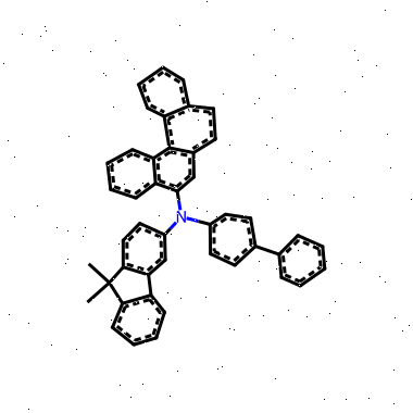 CC1(C)c2ccccc2-c2cc(N(c3ccc(-c4ccccc4)cc3)c3cc4ccc5ccccc5c4c4ccccc34)ccc21